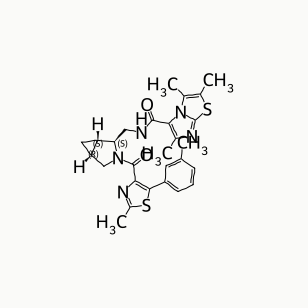 Cc1cccc(-c2sc(C)nc2C(=O)N2C[C@@H]3C[C@@H]3[C@H]2CNC(=O)c2c(C)nc3sc(C)c(C)n23)c1